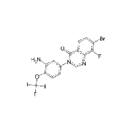 Nc1cc(-n2cnc3c(F)c(Br)ccc3c2=O)ccc1OC(F)(I)I